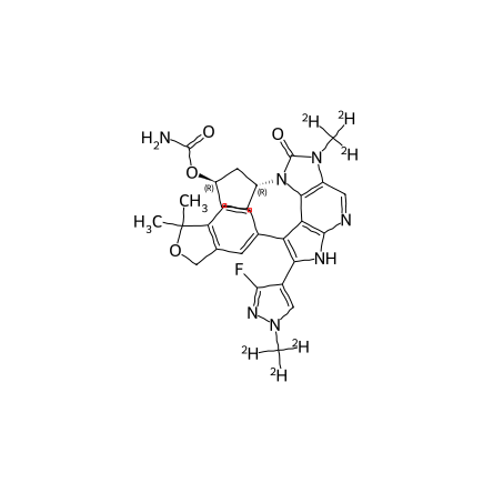 [2H]C([2H])([2H])n1cc(-c2[nH]c3ncc4c(c3c2-c2ccc3c(c2)COC3(C)C)n([C@@H]2CC[C@@H](OC(N)=O)C2)c(=O)n4C([2H])([2H])[2H])c(F)n1